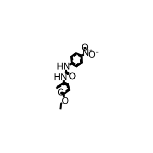 CCOc1ccc(NC(=O)Nc2ccc([N+](=O)[O-])cc2)cc1